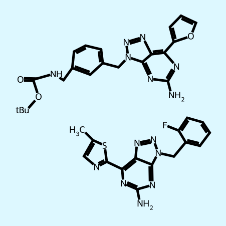 CC(C)(C)OC(=O)NCc1cccc(Cn2nnc3c(-c4ccco4)nc(N)nc32)c1.Cc1cnc(-c2nc(N)nc3c2nnn3Cc2ccccc2F)s1